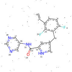 C=Cc1ccc(F)c(Cc2c[nH]c(C(=O)Nc3cncnc3)c2)c1F